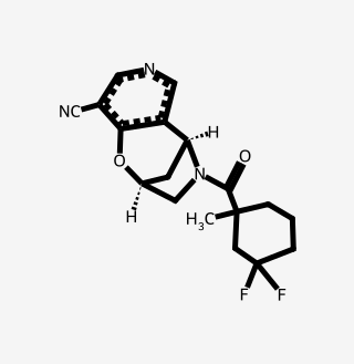 CC1(C(=O)N2C[C@@H]3C[C@H]2c2cncc(C#N)c2O3)CCCC(F)(F)C1